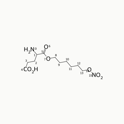 NC(CCC(=O)O)C(=O)OCCCCCCO[N+](=O)[O-]